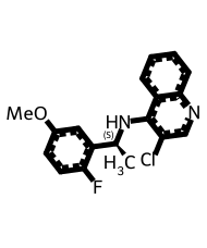 COc1ccc(F)c([C@H](C)Nc2c(Cl)cnc3ccccc23)c1